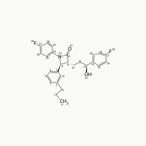 CCCc1cccc([C@@H]2[C@@H](CC[C@H](O)c3ccc(F)cc3)C(=O)N2c2ccc(F)cc2)c1